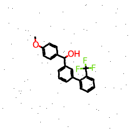 COc1ccc(C(O)c2cccc(-c3ccccc3C(F)(F)F)c2)cc1